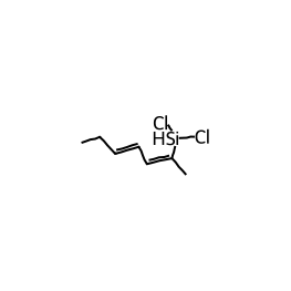 CCC=CC=C(C)[SiH](Cl)Cl